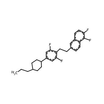 CCCC1CCC(c2cc(F)c(CCc3ccc4c(F)c(F)ccc4c3)c(F)c2)CC1